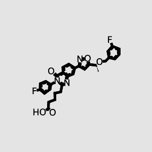 C[C@@H](OCc1cccc(F)c1)c1cc(-c2ccc3c(=O)n(-c4ccc(F)cc4)c(CCCCC(=O)O)nc3c2)no1